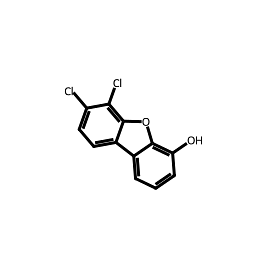 Oc1cccc2c1oc1c(Cl)c(Cl)ccc12